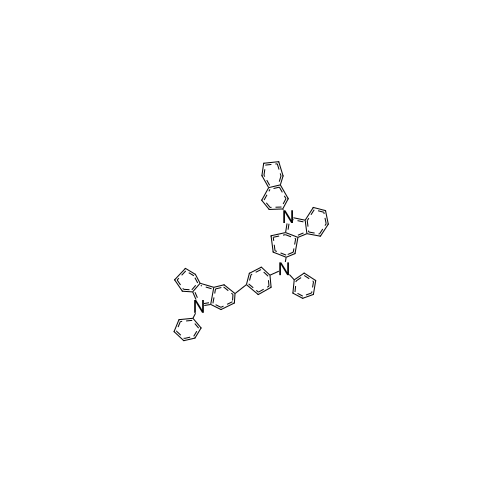 c1ccc(N(c2ccc(-c3ccc4c(c3)c3ccccc3n4-c3ccccc3)cc2)c2ccc3c(c2)c2ccccc2n3-c2ccc3ccccc3c2)cc1